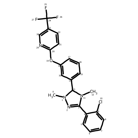 CN1N=C(c2ccccc2Cl)N(C)C1c1cccc(Oc2ccc(C(F)(F)F)cn2)c1